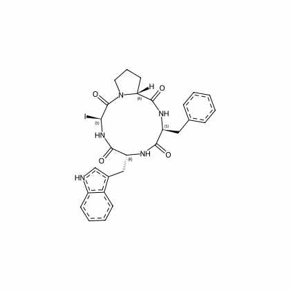 O=C1N[C@H](Cc2c[nH]c3ccccc23)C(=O)N[C@@H](I)C(=O)N2CCC[C@@H]2C(=O)N[C@H]1Cc1ccccc1